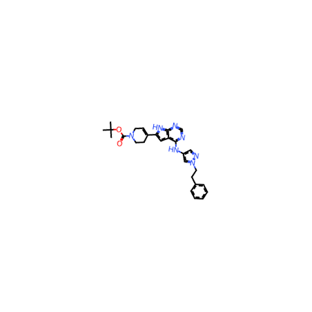 CC(C)(C)OC(=O)N1CC=C(c2cc3c(Nc4cnn(CCc5ccccc5)c4)ncnc3[nH]2)CC1